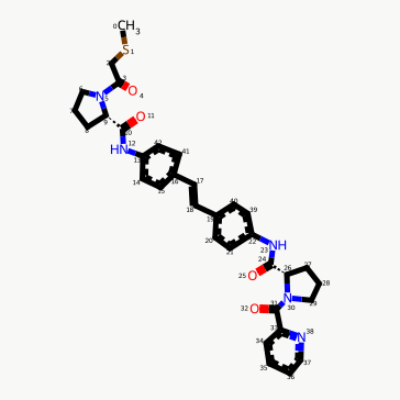 CSCC(=O)N1CCC[C@H]1C(=O)Nc1ccc(/C=C/c2ccc(NC(=O)[C@@H]3CCCN3C(=O)c3ccccn3)cc2)cc1